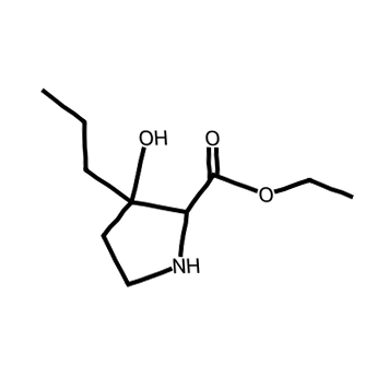 CCCC1(O)CCNC1C(=O)OCC